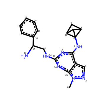 Cn1ncc2c(NC3C4CC3C4)nc(NCC(N)c3ccccc3)nc21